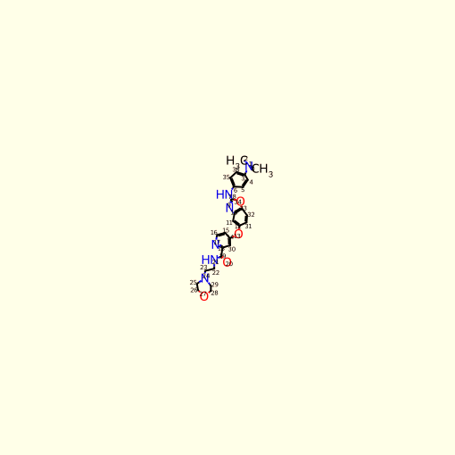 CN(C)c1ccc(Nc2nc3cc(Oc4ccnc(C(=O)NCCN5CCOCC5)c4)ccc3o2)cc1